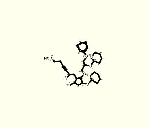 O=C(O)CCC#CC(O)CC1C(O)CC(OC2CCCCO2)C1OCC(COc1ccccc1)OC1CCCCO1